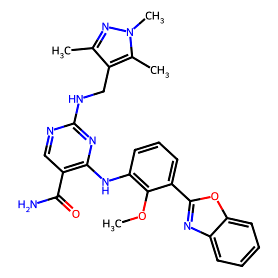 COc1c(Nc2nc(NCc3c(C)nn(C)c3C)ncc2C(N)=O)cccc1-c1nc2ccccc2o1